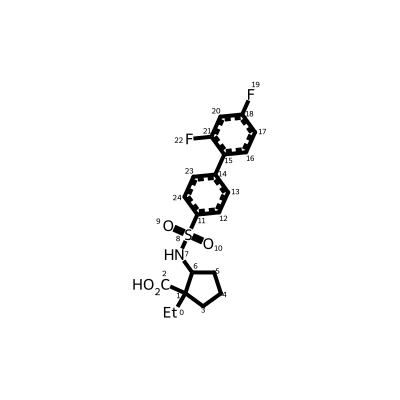 CCC1(C(=O)O)CCCC1NS(=O)(=O)c1ccc(-c2ccc(F)cc2F)cc1